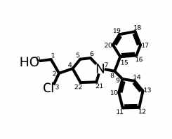 OCC(Cl)C1CCN(C(c2ccccc2)c2ccccc2)CC1